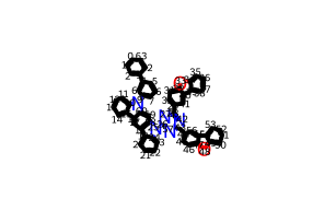 c1ccc(-c2cccc(-n3c4ccccc4c4cc5c6ccccc6n(-c6nc(-c7ccc8oc9ccccc9c8c7)nc(-c7ccc8oc9ccccc9c8c7)n6)c5cc43)c2)cc1